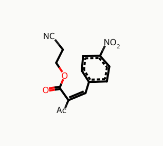 CC(=O)C(=Cc1ccc([N+](=O)[O-])cc1)C(=O)OCCC#N